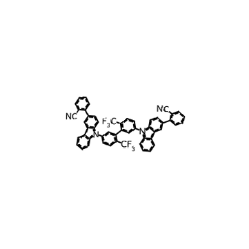 N#Cc1ccccc1-c1ccc2c(c1)c1ccccc1n2-c1ccc(C(F)(F)F)c(-c2cc(-n3c4ccccc4c4cc(-c5ccccc5C#N)ccc43)ccc2C(F)(F)F)c1